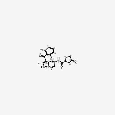 Cc1[nH]c2ccc(NC(=O)C3CCC(=O)C3)cc2c1C(=O)c1c(F)cccc1Cl